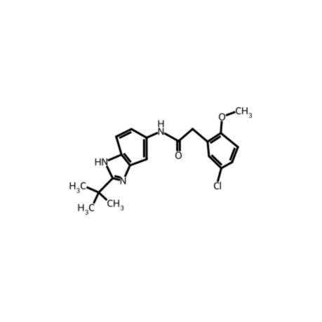 COc1ccc(Cl)cc1CC(=O)Nc1ccc2[nH]c(C(C)(C)C)nc2c1